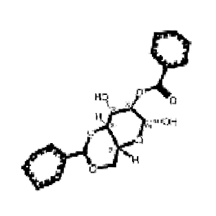 O=C(O[C@@H]1[C@@H](O)[C@@H]2OC(c3ccccc3)OC[C@H]2O[C@H]1O)c1ccccc1